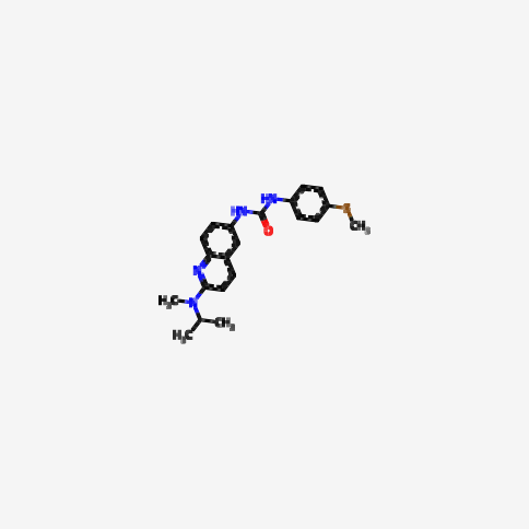 CSc1ccc(NC(=O)Nc2ccc3nc(N(C)C(C)C)ccc3c2)cc1